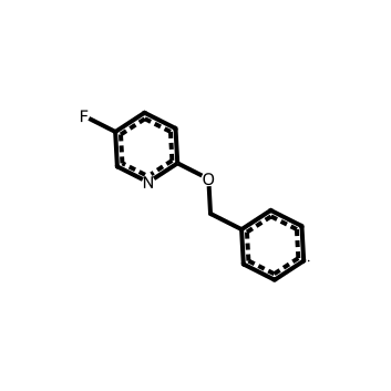 Fc1ccc(OCc2cc[c]cc2)nc1